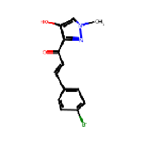 Cn1cc(O)c(C(=O)C=Cc2ccc(Br)cc2)n1